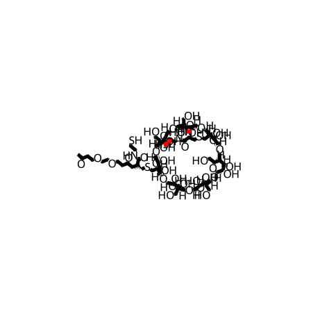 CNC(CSCC1O[C@H]2O[C@@H]3C(CO)O[C@H](O[C@@H]4C(CO)O[C@H](O[C@@H]5C(CO)O[C@H](O[C@@H]6C(CSC[C@@H](CC(=O)CCOCCOCCC(C)=O)C(=O)NCCS)O[C@H](O[C@@H]7C(CO)O[C@@H](O[C@@H]8C(CO)O[C@@H](O[C@H]1[C@H](O)C2O)C(O)[C@H]8O)C(O)[C@H]7O)C(O)[C@H]6O)C(O)[C@H]5O)C(O)[C@H]4O)C(O)[C@H]3O)C(=O)NCCS